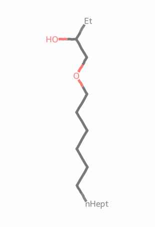 CCCCCCCCCCCCCOCC(O)CC